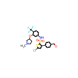 CN1CCC(Oc2cc(NS(=O)(=O)c3sc(Cl)cc3-c3ccc(C=O)cc3)ccc2C(F)(F)F)C1